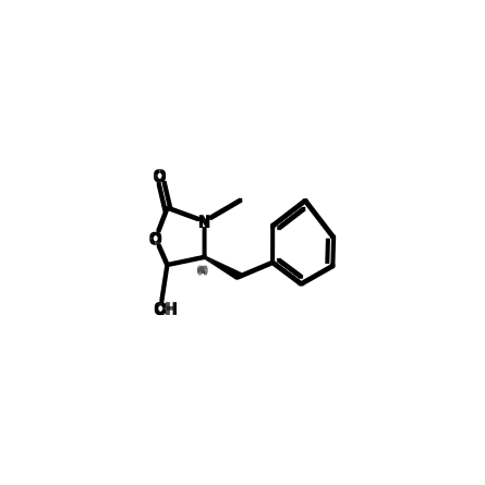 CN1C(=O)OC(O)[C@@H]1Cc1ccccc1